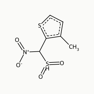 Cc1ccsc1C([N+](=O)[O-])[SH](=O)=O